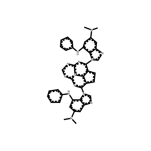 CN(C)c1cc(Nc2ccccc2)c2c(c1)ncn2-c1nc2ncnc3nc(-n4cnc5cc(N(C)C)cc(Nc6ccccc6)c54)c4ccc1c4n23